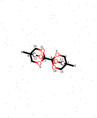 CC12COC(C34OCC(C)(CO3)CO4)(OC1)OC2